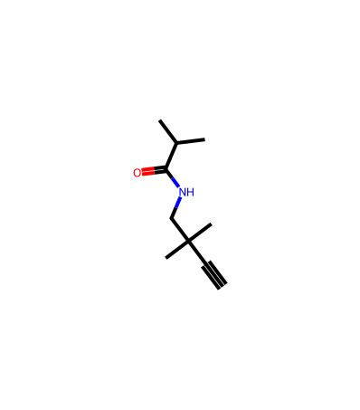 C#CC(C)(C)CNC(=O)C(C)C